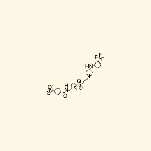 O=C(NCc1ccc(S(=O)(=O)CC=CN2CCC(Nc3cccc(C(F)(F)F)c3)CC2)s1)c1ccc([N+](=O)[O-])cc1